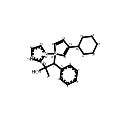 CC(C)(O)C(c1ccccc1)S1(n2ccnc2)C=CC(C2CCCCC2)=C1